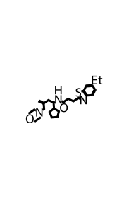 C=C(CC(NC(=O)CCc1nc2ccc(CC)cc2s1)C1CCCC1)CN1CCOCC1